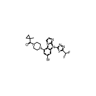 CC1(C(=O)N2CCN(c3cc(Br)cc4c3n3ccnc3n4-c3nnc(C(F)F)s3)CC2)CC1